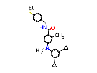 CCSc1ccc(CNC(=O)c2ccc(N(C)c3cc(C4CC4)cc(C4CC4)c3)cc2C)cc1